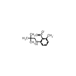 [CH2]c1cccc(NCC(C)(C)C)c1[N+](=O)[O-]